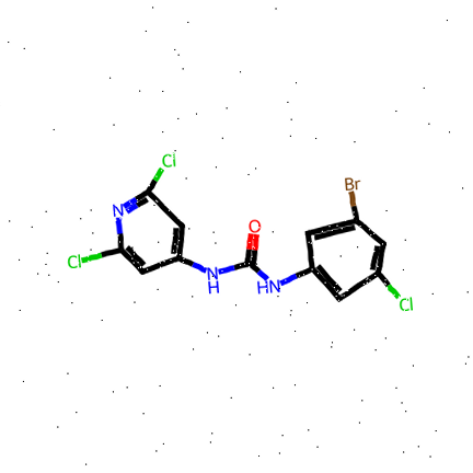 O=C(Nc1cc(Cl)cc(Br)c1)Nc1cc(Cl)nc(Cl)c1